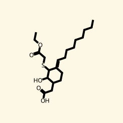 CCCCCCCCC=C1CCC(CC(=O)O)C(O)C1SCC(=O)OCC